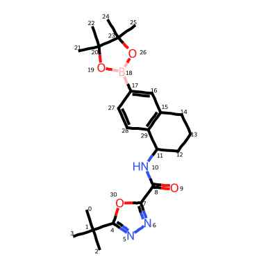 CC(C)(C)c1nnc(C(=O)NC2CCCc3cc(B4OC(C)(C)C(C)(C)O4)ccc32)o1